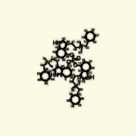 C[N+](C)(CCc1c[nH]c2cccc(OP(=O)(Oc3cccc4[nH]cc(CC[N+](C)(C)Cc5ccccc5)c34)Oc3cccc4[nH]cc(CC[N+](C)(C)Cc5ccccc5)c34)c12)Cc1ccccc1